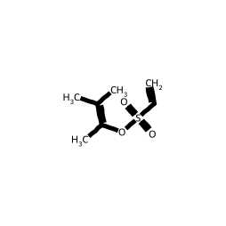 C=CS(=O)(=O)OC(C)=C(C)C